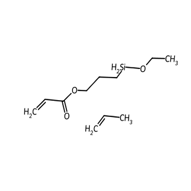 C=CC.C=CC(=O)OCCC[SiH2]OCC